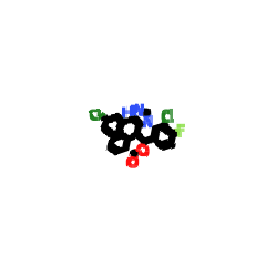 O=COC(c1ccc(F)c(Cl)c1)C(c1ccccc1)c1nc[nH]c1-c1cccc(Cl)c1